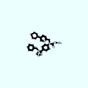 CC(C)(C)OC(=O)N(Cc1ccc(C2CCCCC2)cn1)c1ccc(-c2nnnn2Cc2ccccc2)cc1